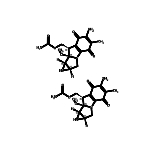 CO[C@@]12[C@H](COC(N)=O)C3=C(C(=O)C(C)=C(N)C3=O)N1C[C@@H]1N[C@@H]12.CO[C@@]12[C@H](COC(N)=O)C3=C(C(=O)C(C)=C(N)C3=O)N1C[C@@H]1N[C@@H]12